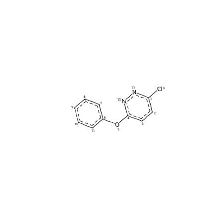 Clc1ccc(Oc2c[c]ccc2)nn1